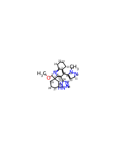 COCC1(c2nc3c(c(-c4ccnn4C)c2-c2nn[nH]n2)CCCC3)CCCCC1